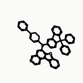 C1=C(c2ccccc2)CCC(N(c2ccc3c(c2)-c2ccccc2C3(c2ccccc2)c2ccccc2)c2cc3cnccc3c3c2oc2ccccc23)=C1